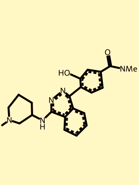 CNC(=O)c1ccc(-c2nnc(NC3CCCN(C)C3)c3ccccc23)c(O)c1